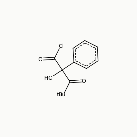 CC(C)(C)C(=O)C(O)(C(=O)Cl)c1ccccc1